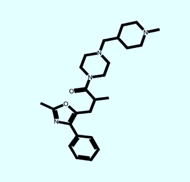 Cc1nc(-c2ccccc2)c(CC(C)C(=O)N2CCN(CC3CCN(C)CC3)CC2)o1